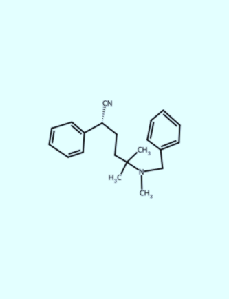 CN(Cc1ccccc1)C(C)(C)CC[C@@H](C#N)c1ccccc1